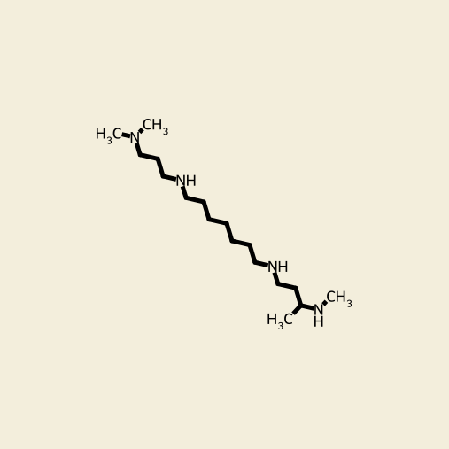 CNC(C)CCNCCCCCCCNCCCN(C)C